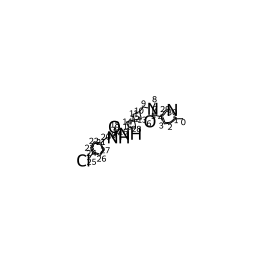 Cc1ccc(C(=O)N(C)CC2CC3(C2)CC(NC(=O)NCc2ccc(Cl)cc2)C3)cn1